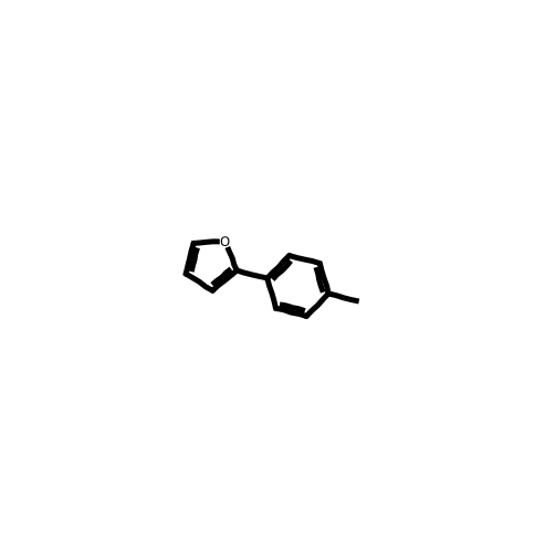 Cc1ccc(-c2ccco2)cc1